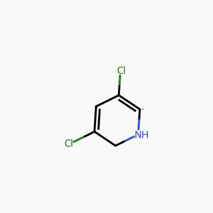 ClC1=[C]NCC(Cl)=C1